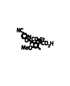 CCOC(=O)C(C)(c1nc2cc(C#N)ccc2o1)c1c(OC)cc(C)c2c1ccn2C(=O)O